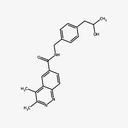 Cc1nnc2ccc(C(=O)NCc3ccc(CC(C)O)cc3)cc2c1C